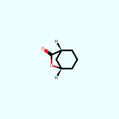 O=C1O[C@H]2CCC[C@@H]1C2